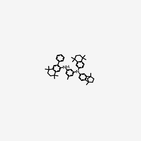 Cc1cc(Nc2cc3c(cc2-c2ccccc2)C(C)(C)CCC3(C)C)cc(N(c2ccc3c(c2)C(C)(C)CCC3(C)C)c2ccc3c(c2)C2(C)CCC3(C)C2)c1